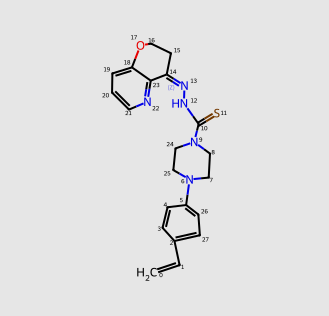 C=Cc1ccc(N2CCN(C(=S)N/N=C3/CCOc4cccnc43)CC2)cc1